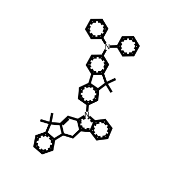 CC1(C)C2=Cc3c(c4ccccc4n3-c3ccc4c(c3)C(C)(C)c3cc(N(c5ccccc5)c5ccccc5)ccc3-4)CC2c2ccccc21